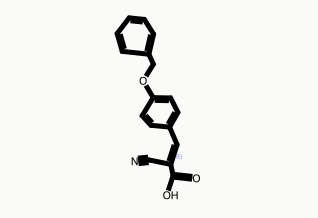 N#C/C(=C\c1ccc(OCc2ccccc2)cc1)C(=O)O